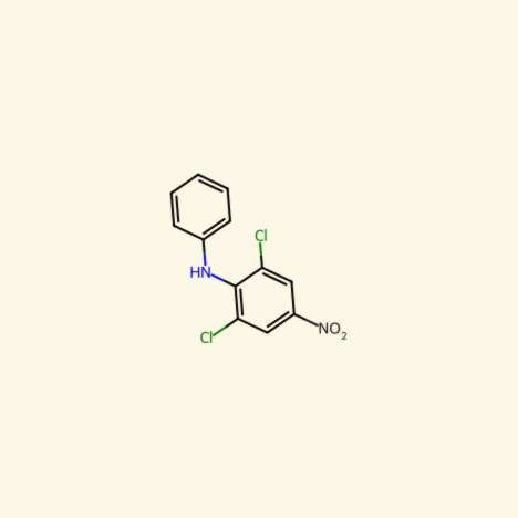 O=[N+]([O-])c1cc(Cl)c(Nc2ccccc2)c(Cl)c1